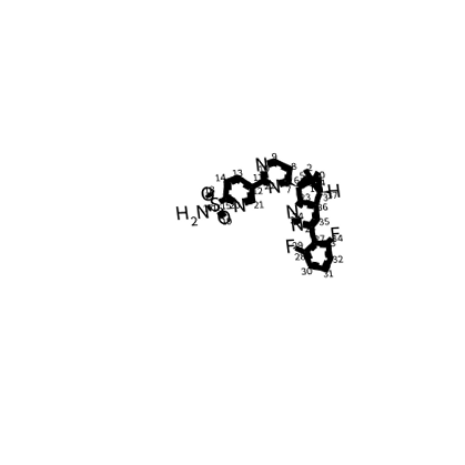 CC1(C)[C@H]2CC[C@]1(c1ccnc(-c3ccc(S(N)(=O)=O)nc3)n1)c1nnc(-c3c(F)cccc3F)cc12